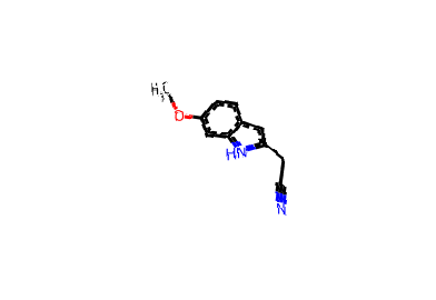 COc1ccc2cc(CC#N)[nH]c2c1